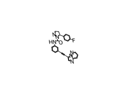 O=C(Nc1cccc(C#Cc2cnc3cccnn23)c1)N1N=CCC1c1ccc(F)cc1